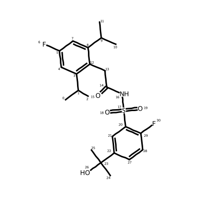 CC(C)c1cc(F)cc(C(C)C)c1CC(=O)NS(=O)(=O)c1cc(C(C)(C)O)ccc1F